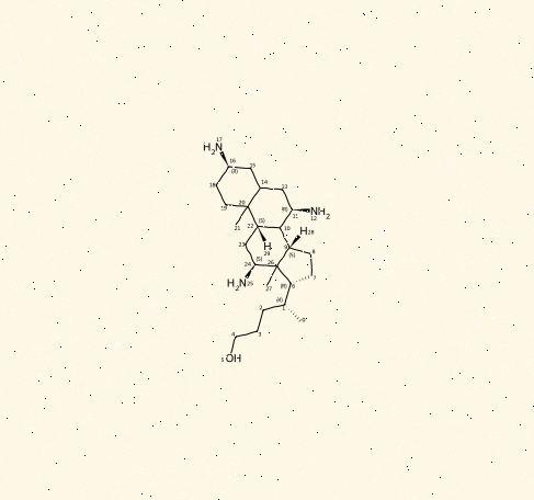 C[C@H](CCCO)[C@H]1CC[C@H]2C3[C@H](N)CC4C[C@H](N)CCC4(C)[C@H]3C[C@H](N)C12C